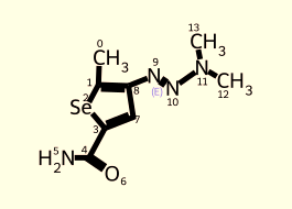 Cc1[se]c(C(N)=O)cc1/N=N/N(C)C